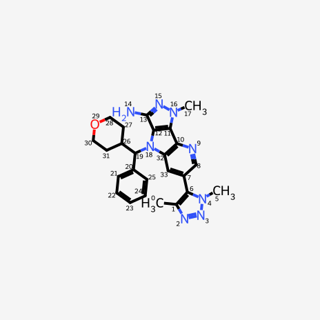 Cc1nnn(C)c1-c1cnc2c3c(c(N)nn3C)n(C(c3ccccc3)C3CCOCC3)c2c1